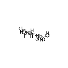 O=C(NCC[C@@H]1[C@H]2CN(c3nc(Cl)ncc3F)C[C@@H]12)c1cc(-c2cccnc2)on1